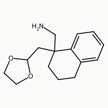 NCC1(CC2OCCO2)CCCc2ccccc21